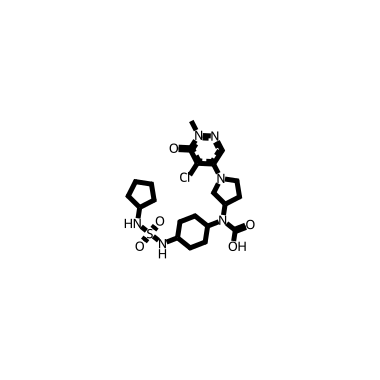 Cn1ncc(N2CCC(N(C(=O)O)C3CCC(NS(=O)(=O)NC4CCCC4)CC3)C2)c(Cl)c1=O